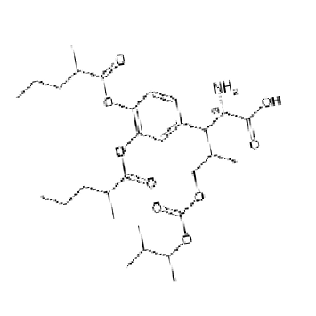 CCCC(C)C(=O)Oc1ccc(C(C(C)COC(=O)OC(C)C(C)C)[C@H](N)C(=O)O)cc1OC(=O)C(C)CCC